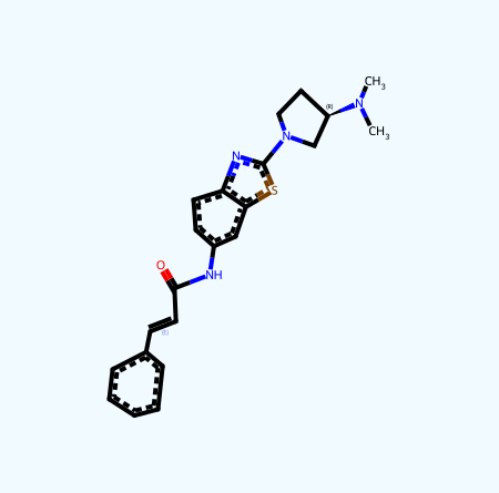 CN(C)[C@@H]1CCN(c2nc3ccc(NC(=O)/C=C/c4ccccc4)cc3s2)C1